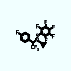 Fc1ccc(C(N(Sc2c(F)c(F)c(F)c(F)c2F)C2CC2)C(F)(F)F)cc1